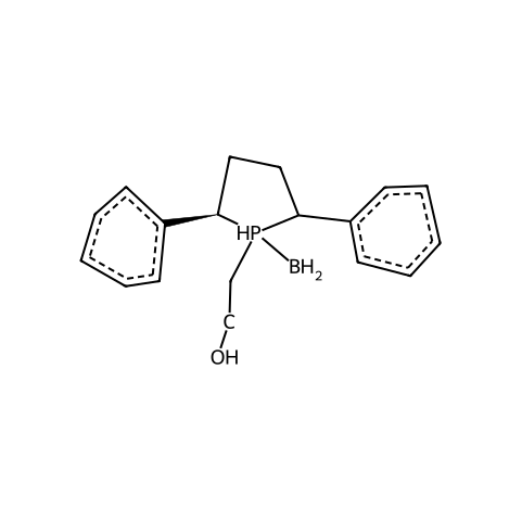 B[PH]1(CCO)C(c2ccccc2)CC[C@@H]1c1ccccc1